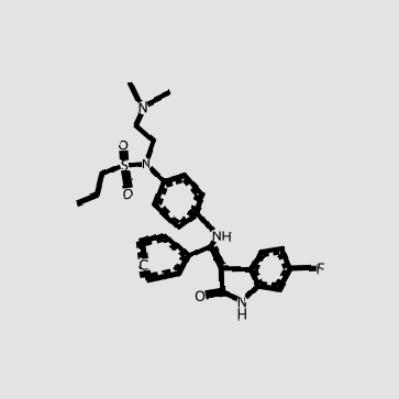 CCCS(=O)(=O)N(CCN(C)C)c1ccc(NC(=C2C(=O)Nc3cc(F)ccc32)c2ccccc2)cc1